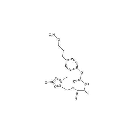 Cc1oc(=O)oc1COC(=O)C(C)NC(=O)Oc1ccc(CCCO[N+](=O)[O-])cc1